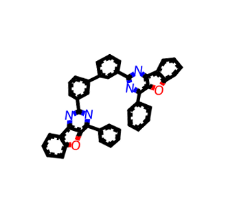 c1ccc(-c2nc(-c3cccc(-c4cccc(-c5nc(-c6ccccc6)c6oc7ccccc7c6n5)c4)c3)nc3c2oc2ccccc23)cc1